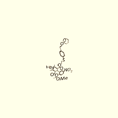 COC(C)OC(=O)C1=C(C)NC(C)=C(C(=O)OCCSc2ccc(CCOC3CCCCO3)cc2)C1c1cccc([N+](=O)[O-])c1